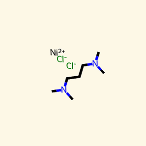 CN(C)CCCN(C)C.[Cl-].[Cl-].[Ni+2]